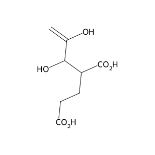 C=C(O)C(O)C(CCC(=O)O)C(=O)O